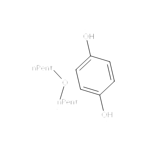 CCCCCOCCCCC.Oc1ccc(O)cc1